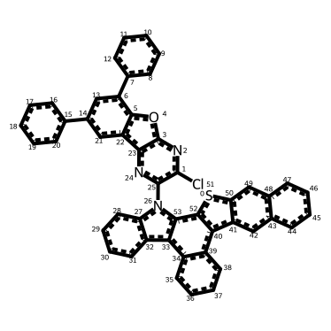 Clc1nc2oc3c(-c4ccccc4)cc(-c4ccccc4)cc3c2nc1-n1c2ccccc2c2c3ccccc3c3c4cc5ccccc5cc4sc3c21